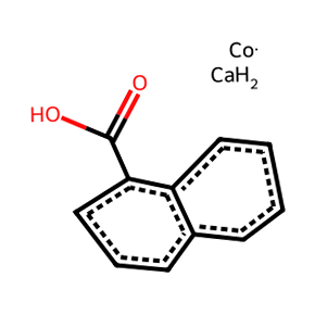 O=C(O)c1cccc2ccccc12.[CaH2].[Co]